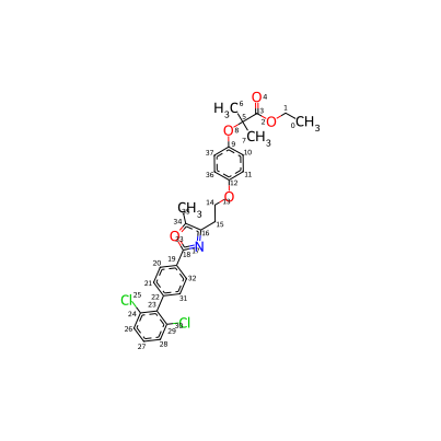 CCOC(=O)C(C)(C)Oc1ccc(OCCc2nc(-c3ccc(-c4c(Cl)cccc4Cl)cc3)oc2C)cc1